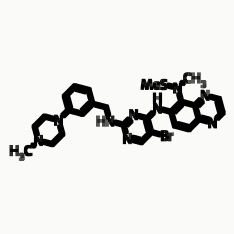 CSN(C)c1c(Nc2nc(NCc3cccc(N4CCN(C)CC4)c3)ncc2Br)ccc2nccnc12